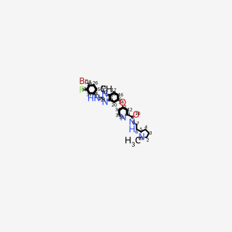 CN1CCCC1CCNC(=O)c1cc(Oc2ccc3c(c2)nc(Nc2ccc(Br)c(F)c2)n3C)ccn1